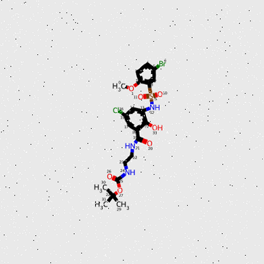 COc1ccc(Br)cc1S(=O)(=O)Nc1cc(Cl)cc(C(=O)NCCNC(=O)OC(C)(C)C)c1O